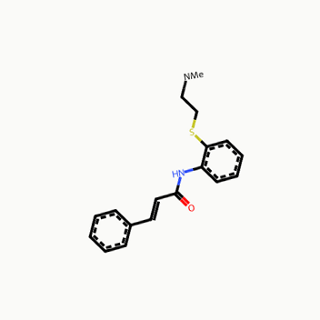 CNCCSc1ccccc1NC(=O)C=Cc1ccccc1